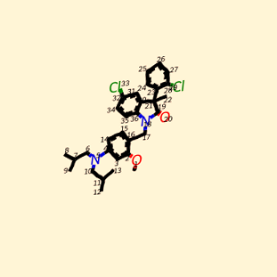 COc1cc(N(CC(C)C)CC(C)C)ccc1CN1C(=O)C(C)(c2ccccc2Cl)c2cc(Cl)ccc21